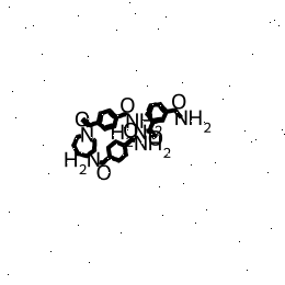 NC(=O)C1CCC(C(N)=O)CC1.NC(=O)c1ccc(C(=O)N2CCCCCC2)cc1.NC(=O)c1cccc(C(N)=O)c1